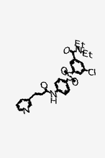 CCN(CC)C(=O)c1cc(Cl)cc(S(=O)(=O)c2ccc(NC(=O)C=Cc3cccnc3)cc2)c1